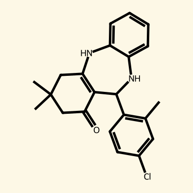 Cc1cc(Cl)ccc1C1Nc2ccccc2NC2=C1C(=O)CC(C)(C)C2